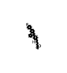 COC(=O)CCNCc1ccc(N(Cc2ccc(-c3ccc(F)cc3)cc2)C2CCCC2)nc1